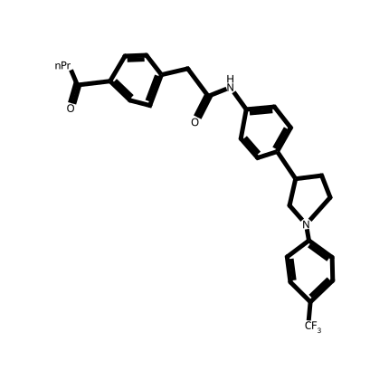 CCCC(=O)c1ccc(CC(=O)Nc2ccc(C3CCN(c4ccc(C(F)(F)F)cc4)C3)cc2)cc1